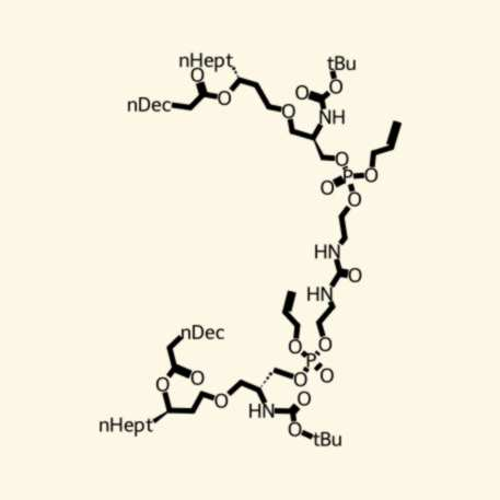 C=CCOP(=O)(OCCNC(=O)NCCOP(=O)(OCC=C)OC[C@@H](COCC[C@@H](CCCCCCC)OC(=O)CCCCCCCCCCC)NC(=O)OC(C)(C)C)OC[C@@H](COCC[C@@H](CCCCCCC)OC(=O)CCCCCCCCCCC)NC(=O)OC(C)(C)C